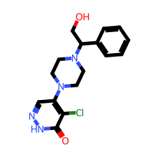 O=c1[nH]ncc(N2CCN(C(CO)c3ccccc3)CC2)c1Cl